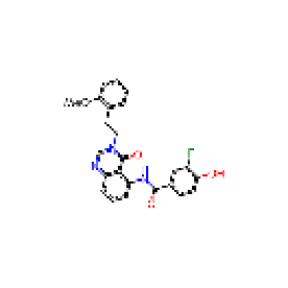 COc1ccccc1CCn1cnc2cccc(NC(=O)c3ccc(O)c(F)c3)c2c1=O